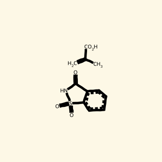 C=C(C)C(=O)O.O=C1NS(=O)(=O)c2ccccc21